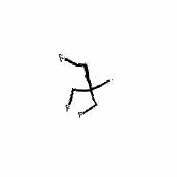 [CH2]C(CF)(CF)CF